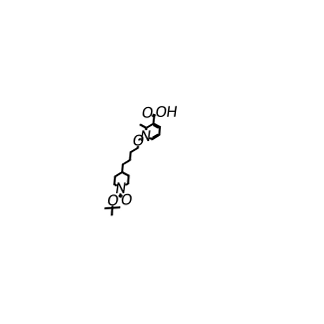 CC1C(C(=O)O)=CC=CN1OCCCCC1CCN(C(=O)OC(C)(C)C)CC1